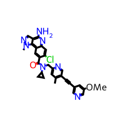 COc1cncc(C#Cc2cnc(CN(C(=O)c3cc4c(cc3Cl)nc(N)c3cnn(C)c34)C3CC3)cc2C)c1